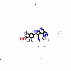 Cn1ncc2cnc3[nH]c(-c4ccc(C(C)(C)O)cc4)c(C#N)c3c21